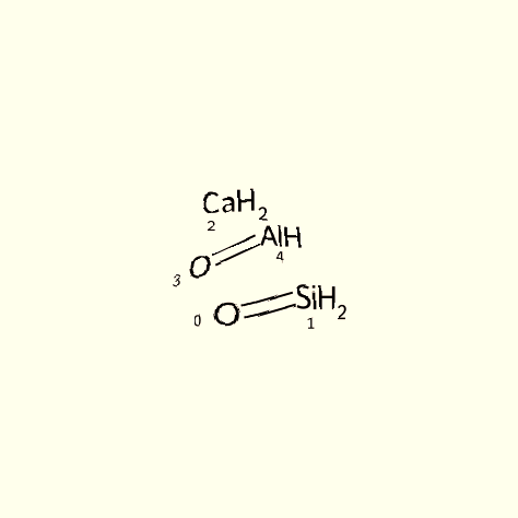 O=[SiH2].[CaH2].[O]=[AlH]